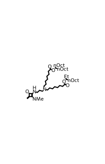 C=C1C(=O)C(NCCCN(CCCCCCCC(=O)OC(CC)CCCCCCCC)CCCCCCCC(=O)OC(CCCCCCCC)CCCCCCCC)=C1NC